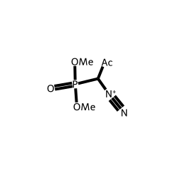 COP(=O)(OC)C([N+]#N)C(C)=O